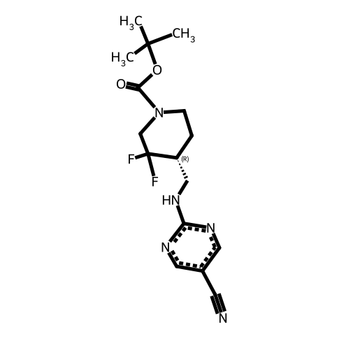 CC(C)(C)OC(=O)N1CC[C@H](CNc2ncc(C#N)cn2)C(F)(F)C1